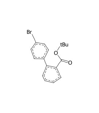 CC(C)(C)OC(=O)c1ccccc1-c1ccc(Br)cc1